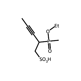 CC#CC(CS(=O)(=O)O)P(C)(=O)OCC